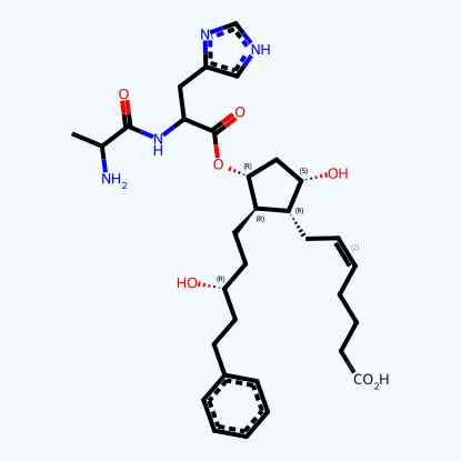 CC(N)C(=O)NC(Cc1c[nH]cn1)C(=O)O[C@@H]1C[C@H](O)[C@H](C/C=C\CCCC(=O)O)[C@H]1CC[C@@H](O)CCc1ccccc1